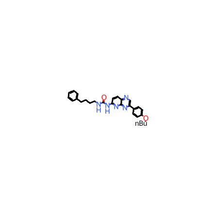 CCCCOc1ccc(-c2cnc3ccc(NC(=O)NCCCCc4ccccc4)nc3n2)cc1